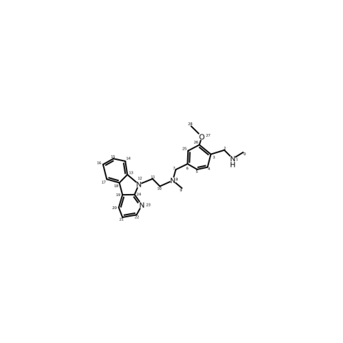 CNCc1ccc(CN(C)CCn2c3ccccc3c3cccnc32)cc1OC